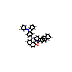 c1ccc(-c2nc3c(ccc4cccc(N(c5ccc(-c6ccc7ccccc7c6)cc5)c5ccc6c(c5)c5ccccc5n6-c5ccccc5)c43)o2)cc1